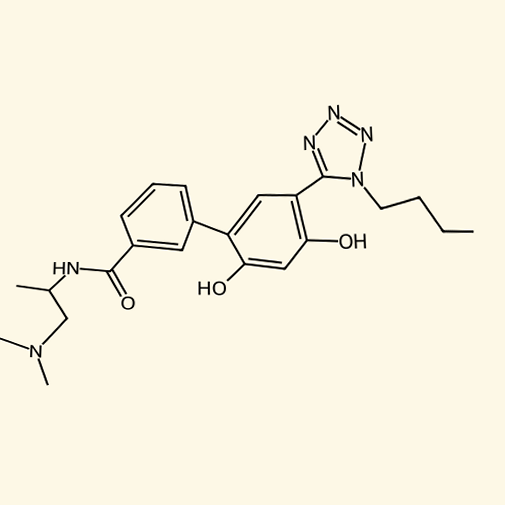 CCCCn1nnnc1-c1cc(-c2cccc(C(=O)NC(C)CN(C)C)c2)c(O)cc1O